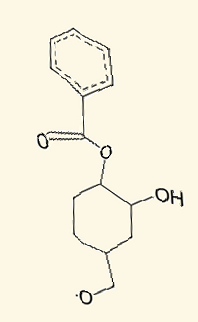 [O]CC1CCC(OC(=O)c2ccccc2)C(O)C1